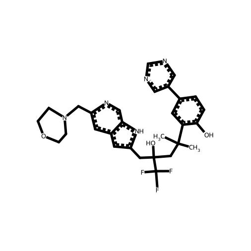 CC(C)(CC(O)(Cc1cc2cc(CN3CCOCC3)ncc2[nH]1)C(F)(F)F)c1cc(-c2cncnc2)ccc1O